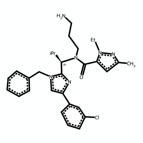 CCn1nc(C)cc1C(=O)N(CCCN)[C@@H](c1nc(-c2cccc(Cl)c2)cn1Cc1ccccc1)C(C)C